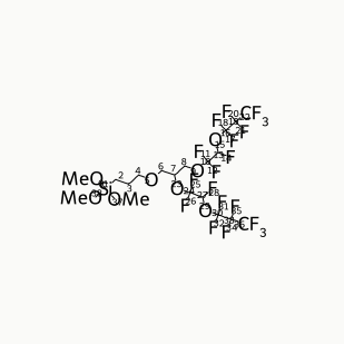 CO[Si](CCCOCC(COC(F)(F)C(F)OC(F)(F)C(F)(F)C(F)(F)F)OC(F)(F)C(F)OC(F)(F)C(F)(F)C(F)(F)F)(OC)OC